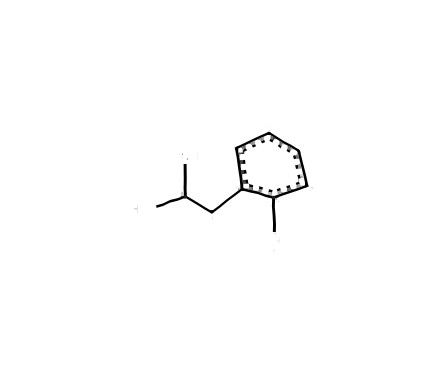 NC(C=O)Cc1ccccc1Br